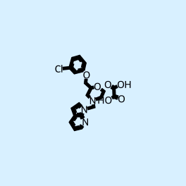 Clc1cccc(OCC2CN(Cn3ccc4cccnc43)CCO2)c1.O=C(O)C(=O)O